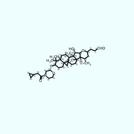 C[C@@H]1CC(CCC=O)OC2[C@H]1C1(C)CCC34CC35CCC(O[C@H]3CN(C(=O)CC6CC6)CCO3)C(C)(C)[C@@H]5CCC4[C@]1(C)[C@H]2O